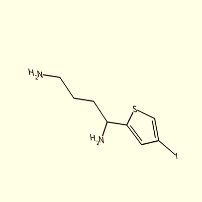 NCCCC(N)c1cc(I)cs1